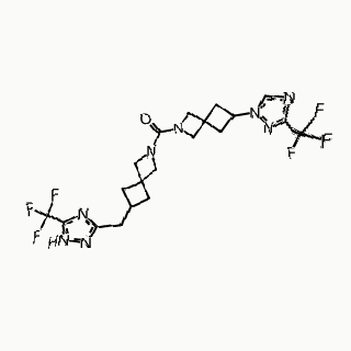 O=C(N1CC2(CC(Cc3n[nH]c(C(F)(F)F)n3)C2)C1)N1CC2(CC(n3cnc(C(F)(F)F)n3)C2)C1